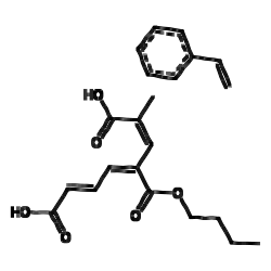 C=Cc1ccccc1.CCCCOC(=O)C(C=C(C)C(=O)O)=CC=CC(=O)O